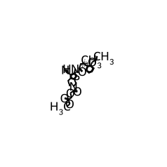 CCOc1ccccc1[C@@H](C)CC(=O)Nc1sc2c(c1C#N)CCN(C(=O)OCC(=O)OC)C2